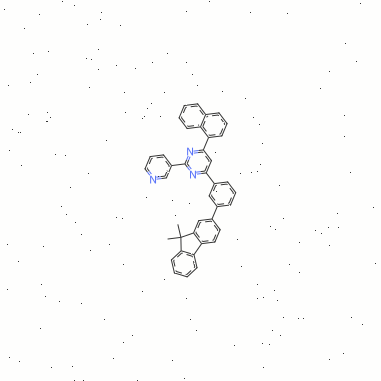 CC1(C)c2ccccc2-c2ccc(-c3cccc(-c4cc(-c5cccc6ccccc56)nc(-c5cccnc5)n4)c3)cc21